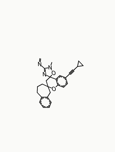 C=NC1=NC2(CC3(CCCc4ccccc4C3)Oc3ccc(C#CC4CC4)cc32)ON1C